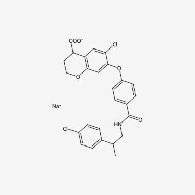 CC(CNC(=O)c1ccc(Oc2cc3c(cc2Cl)C(C(=O)[O-])CCO3)cc1)c1ccc(Cl)cc1.[Na+]